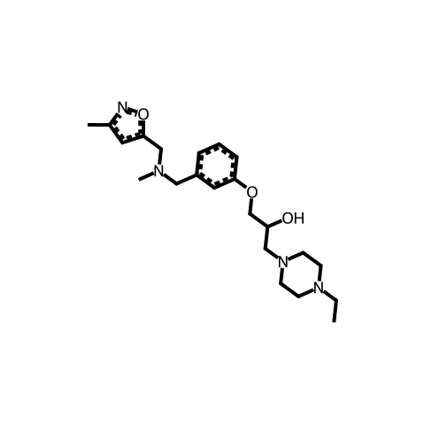 CCN1CCN(CC(O)COc2cccc(CN(C)Cc3cc(C)no3)c2)CC1